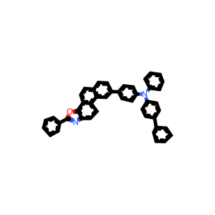 c1ccc(-c2ccc(N(c3ccccc3)c3ccc(-c4ccc5ccc6c(ccc7nc(-c8ccccc8)oc76)c5c4)cc3)cc2)cc1